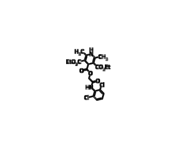 CCOC(=O)C1=C(C)NC(C)=C(C(=O)OCC)C1C(=O)OCC(=O)Nc1c(Cl)cccc1Cl